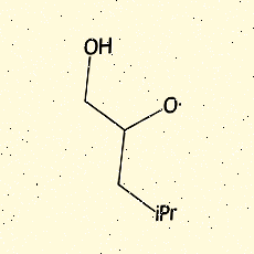 CC(C)CC([O])CO